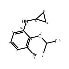 FC(F)Oc1c(Br)cccc1NC1CC1